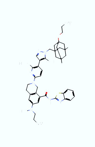 CNCCN(C)c1cc2c(c(C(=O)Nc3nc4ccccc4s3)c1)CN(c1ccc(-c3cnn(CC45CC6(C)CC(C)(C4)CC(OCCOC)(C6)C5)c3C)c(C(=O)O)n1)CC2